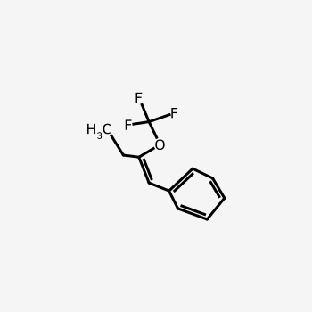 CCC(=Cc1ccccc1)OC(F)(F)F